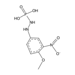 COc1ccc(NNP(=O)(O)O)cc1[N+](=O)[O-]